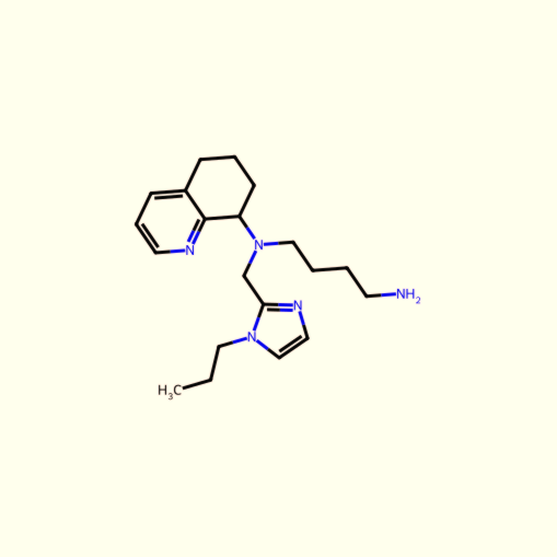 CCCn1ccnc1CN(CCCCN)C1CCCc2cccnc21